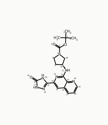 CC(C)(C)OC(=O)N1CC[C@H](Nc2nc(-c3n[nH]c(=O)[nH]3)cc3cccnc23)C1